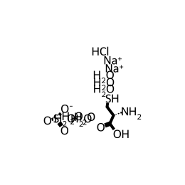 Cl.N[C@@H](CS)C(=O)O.O.O.O.O.O.O.O.O=S([O-])[O-].[Na+].[Na+]